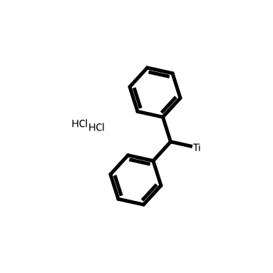 Cl.Cl.[Ti][CH](c1ccccc1)c1ccccc1